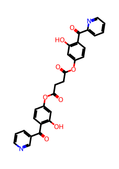 O=C(CCC(=O)Oc1ccc(C(=O)c2ccccn2)c(O)c1)Oc1ccc(C(=O)c2cccnc2)c(O)c1